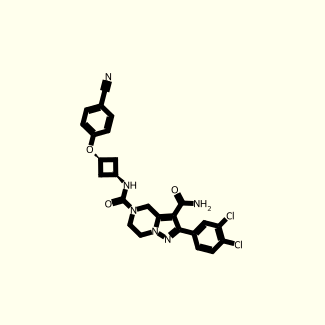 N#Cc1ccc(O[C@H]2C[C@H](NC(=O)N3CCn4nc(-c5ccc(Cl)c(Cl)c5)c(C(N)=O)c4C3)C2)cc1